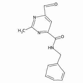 Cc1nc(C=O)cc(C(=O)NCc2ccccc2)n1